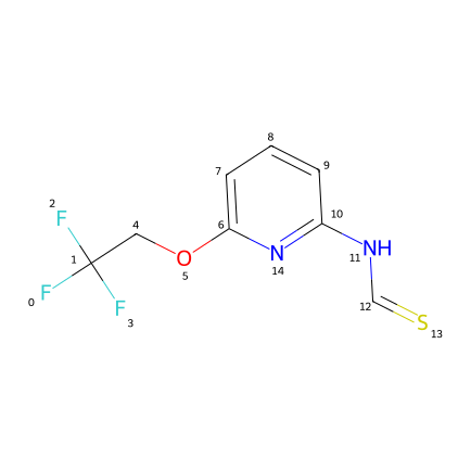 FC(F)(F)COc1cccc(NC=S)n1